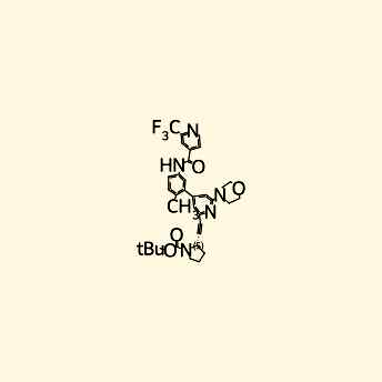 Cc1ccc(NC(=O)c2ccnc(C(F)(F)F)c2)cc1-c1cc(C#C[C@@H]2CCCN2C(=O)OC(C)(C)C)nc(N2CCOCC2)c1